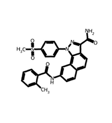 Cc1ccccc1C(=O)Nc1ccc2ccc3c(C(N)=O)nn(-c4ccc(S(C)(=O)=O)cc4)c3c2c1